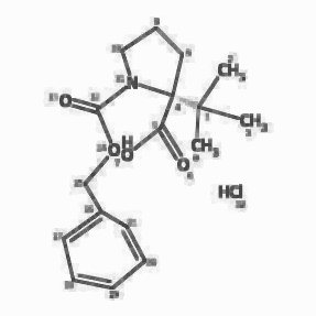 CC(C)(C)[C@@]1(C(=O)O)CCCN1C(=O)OCc1ccccc1.Cl